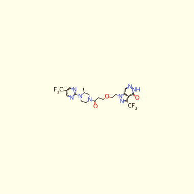 CC1CN(C(=O)CCOCCn2nc(C(F)(F)F)c3c(=O)[nH]ncc32)CCN1c1ncc(C(F)(F)F)cn1